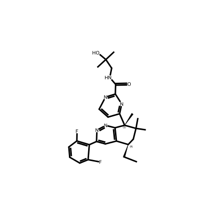 CC[C@@H]1CC(C)(C)[C@@](C)(c2ccnc(C(=O)NCC(C)(C)O)n2)c2nnc(-c3c(F)cccc3F)cc21